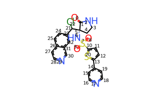 O=C1NCC[C@@]1(NS(=O)(=O)c1ccc(-c2ccncc2)s1)C(Cl)c1ccc2ccncc2c1